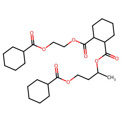 CC(CCOC(=O)C1CCCCC1)OC(=O)C1CCCCC1C(=O)OCCOC(=O)C1CCCCC1